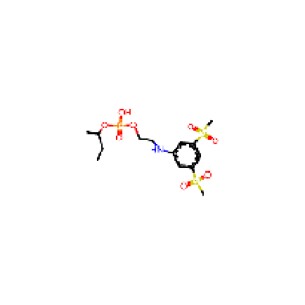 CCC(C)OP(=O)(O)OCCNc1cc(S(C)(=O)=O)cc(S(C)(=O)=O)c1